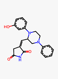 O=C1C/C(=C/C2CN(c3ccccc3)CCN2c2cccc(O)c2)C(=O)N1